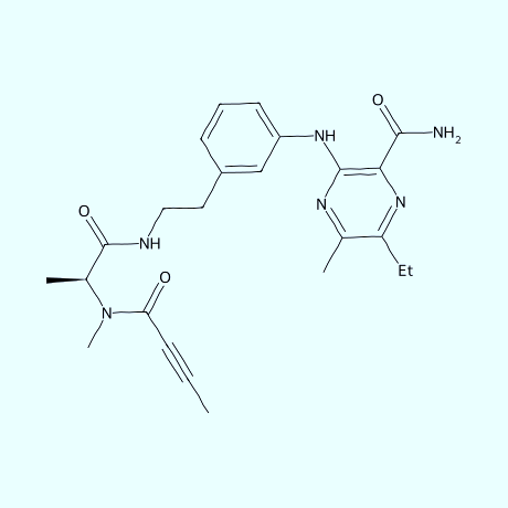 CC#CC(=O)N(C)[C@@H](C)C(=O)NCCc1cccc(Nc2nc(C)c(CC)nc2C(N)=O)c1